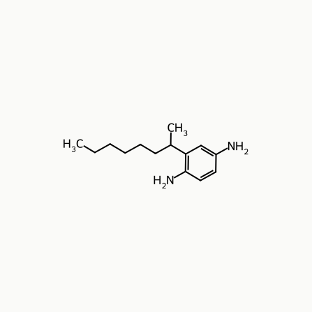 CCCCCCC(C)c1cc(N)ccc1N